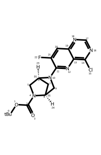 CC(C)(C)OC(=O)N1C[C@@H]2C[C@H]1CN2c1nc2c(Cl)ncnc2cc1F